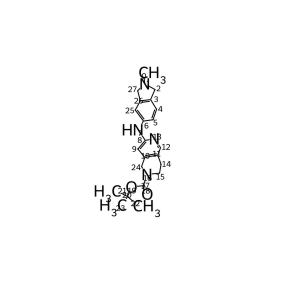 CN1Cc2ccc(Nc3cc4c(cn3)CCN(C(=O)OC(C)(C)C)C4)cc2C1